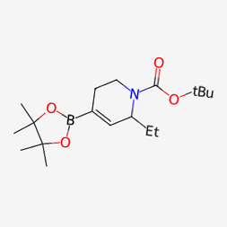 CCC1C=C(B2OC(C)(C)C(C)(C)O2)CCN1C(=O)OC(C)(C)C